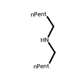 [CH]CCCCCNCCCCCC